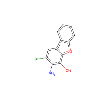 Nc1c(Br)cc2c(oc3ccccc32)c1O